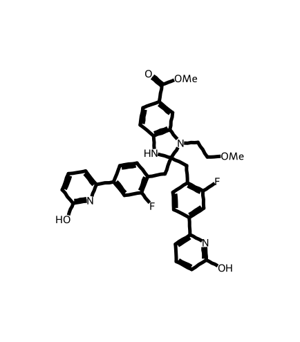 COCCN1c2cc(C(=O)OC)ccc2NC1(Cc1ccc(-c2cccc(O)n2)cc1F)Cc1ccc(-c2cccc(O)n2)cc1F